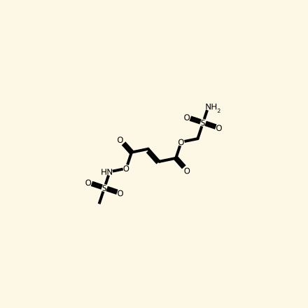 CS(=O)(=O)NOC(=O)/C=C/C(=O)OCS(N)(=O)=O